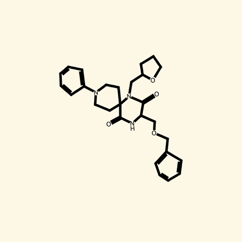 O=C1C(COCc2ccccc2)NC(=O)C2(CCN(c3ccccc3)CC2)N1CC1CCCO1